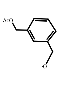 CC(=O)OCc1cccc(C[O])c1